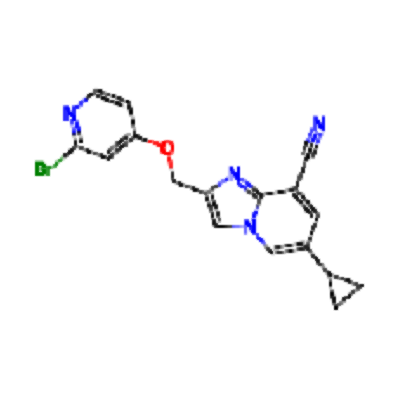 N#Cc1cc(C2CC2)cn2cc(COc3ccnc(Br)c3)nc12